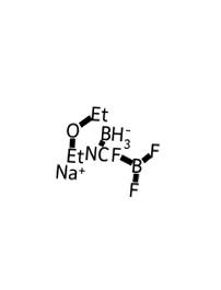 CCOCC.FB(F)F.[BH3-]C#N.[Na+]